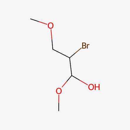 COCC(Br)C(O)OC